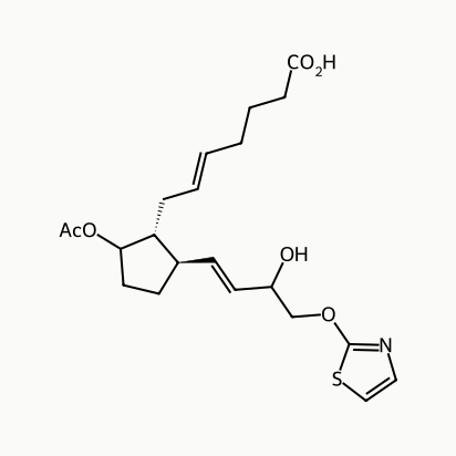 CC(=O)OC1CC[C@H](C=CC(O)COc2nccs2)[C@H]1CC=CCCCC(=O)O